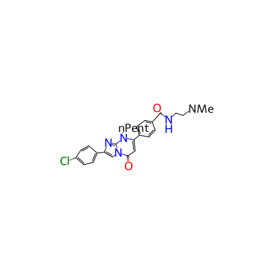 CCCCCn1c(-c2ccc(C(=O)NCCNC)cc2)cc(=O)n2cc(-c3ccc(Cl)cc3)nc12